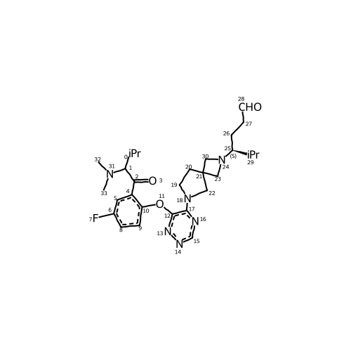 CC(C)C(C(=O)c1cc(F)ccc1Oc1nncnc1N1CCC2(C1)CN([C@@H](CCC=O)C(C)C)C2)N(C)C